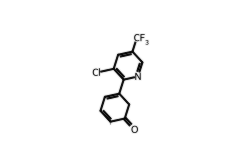 O=C1[C]=CC=C(c2ncc(C(F)(F)F)cc2Cl)C1